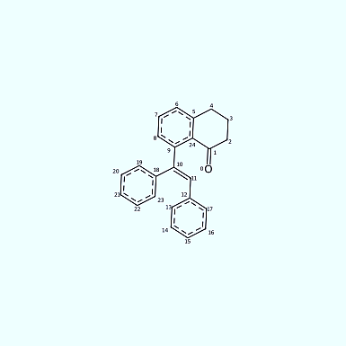 O=C1CCCc2cccc(C(=Cc3ccccc3)c3ccccc3)c21